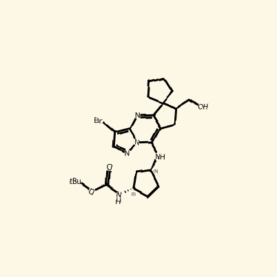 CC(C)(C)OC(=O)N[C@H]1CC[C@H](Nc2c3c(nc4c(Br)cnn24)C2(CCCC2)C(CO)C3)C1